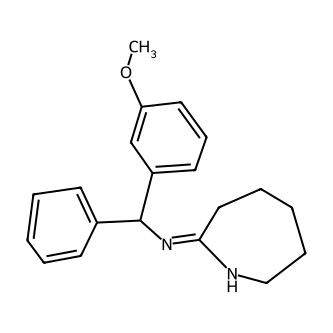 COc1cccc(C(N=C2CCCCCN2)c2ccccc2)c1